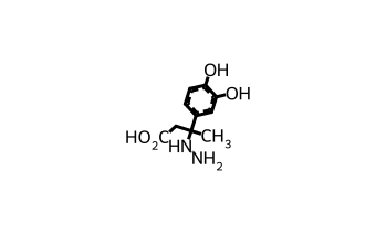 CC(CC(=O)O)(NN)c1ccc(O)c(O)c1